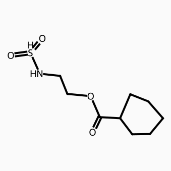 O=C(OCCN[SH](=O)=O)C1CCCCC1